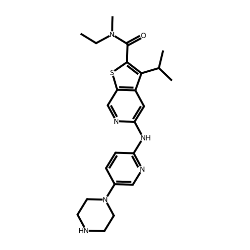 CCN(C)C(=O)c1sc2cnc(Nc3ccc(N4CCNCC4)cn3)cc2c1C(C)C